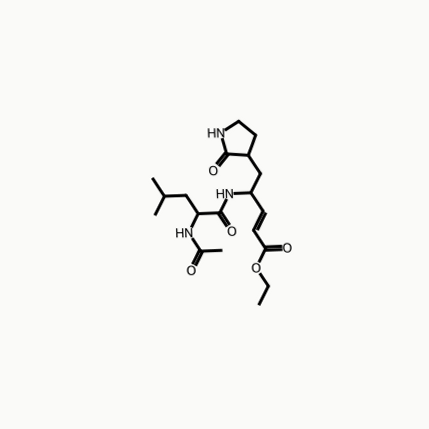 CCOC(=O)C=CC(CC1CCNC1=O)NC(=O)C(CC(C)C)NC(C)=O